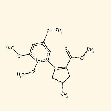 COC(=O)C1=C(c2cc(OC)cc(OC)c2OC)CC(C)C1